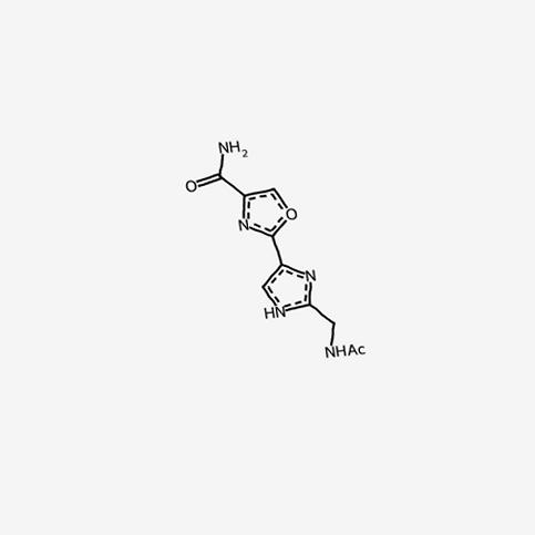 CC(=O)NCc1nc(-c2nc(C(N)=O)co2)c[nH]1